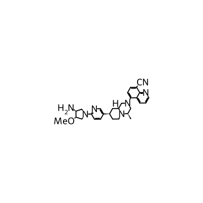 CO[C@@H]1CN(c2ccc([C@@H]3CCN4[C@@H](C3)CN(c3ccc(C#N)c5ncccc35)C[C@H]4C)cn2)C[C@@H]1N